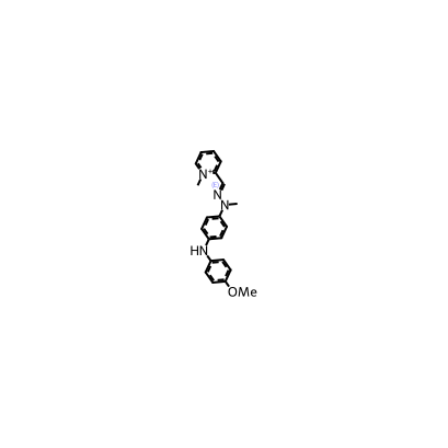 COc1ccc(Nc2ccc(N(C)/N=C/c3cccc[n+]3C)cc2)cc1